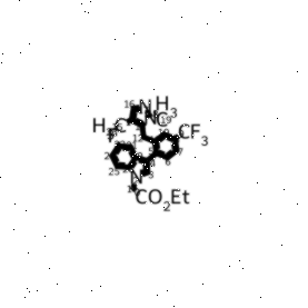 CCOC(=O)Cn1cc(-c2ccc(C(F)(F)F)cc2Cc2c(C)cnn2C)c2cc(F)ccc21